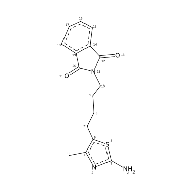 Cc1nc(N)sc1CCCCN1C(=O)c2ccccc2C1=O